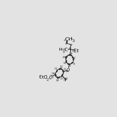 C=CCC(C)(CC)c1ccc(Oc2ccc(C(=O)OCC)cc2F)cc1